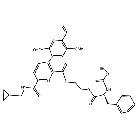 C=Cc1cc(C=O)c(-c2ccc(C(=O)NCC3CC3)nc2C(=O)OCCOC(=O)[C@H](Cc2ccccc2)NC(=O)OC(C)(C)C)cc1OC